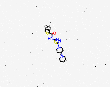 Cc1csc(C(=O)Nc2nnc(N3CCC(N4CCCCC4)CC3)s2)c1